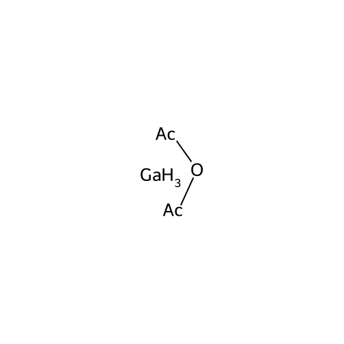 CC(=O)OC(C)=O.[GaH3]